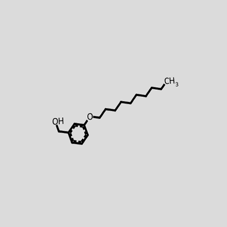 CCCCCCCCCCOc1cccc(CO)c1